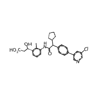 Cc1c(NC(=O)C(c2ccc(-c3cncc(Cl)c3)cc2)C2CCCC2)cccc1C(O)CC(=O)O